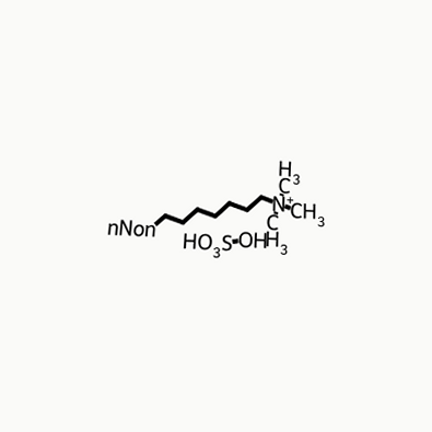 CCCCCCCCCCCCCCCC[N+](C)(C)C.O=S(=O)(O)O